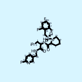 CC(C)CC(NC(=O)C1CCCCN1S(=O)(=O)Cc1c(F)cc(F)cc1F)C(=O)NCc1ccc(F)nc1